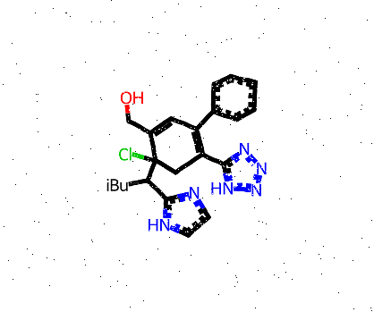 CCC(C)C(c1ncc[nH]1)C1(Cl)CC(c2nnn[nH]2)=C(c2ccccc2)C=C1CO